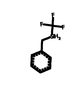 FC(F)(F)[SiH2]Cc1ccccc1